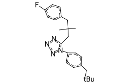 CC(C)(C)Cc1ccc(-n2nnnc2CC(C)(C)Cc2ccc(F)cc2)cc1